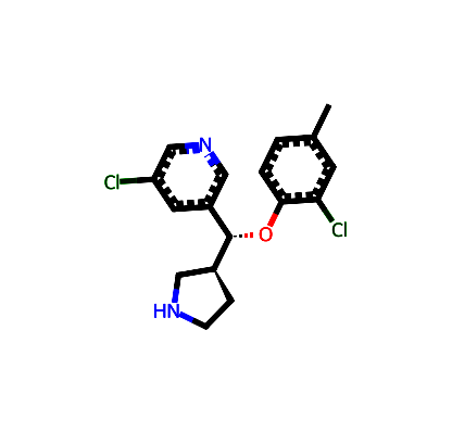 Cc1ccc(O[C@@H](c2cncc(Cl)c2)[C@H]2CCNC2)c(Cl)c1